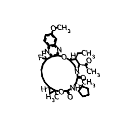 CC[C@@H]1[C@@H]2CN(C(=O)[C@H](C3(C)CCCC3)NC(=O)O[C@]3(C)C[C@H]3CCCCC(F)(F)c3nc4ccc(OC)cc4nc3O2)[C@@H]1C(C)=O